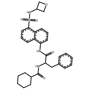 O=C(NC(Cc1ccccc1)C(=O)Nc1cccc2c(S(=O)(=O)NC3COC3)cccc12)C1CCCCC1